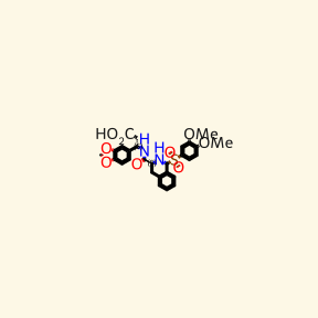 COc1ccc(S(=O)(=O)C2N[C@H](C(=O)N[C@@H](CC(=O)O)c3ccc4c(c3)OCO4)Cc3ccccc32)cc1OC